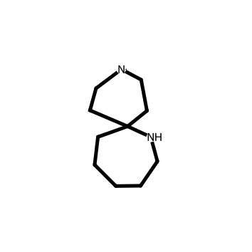 C1CCNC2(CC1)CC[N]CC2